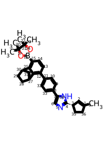 CC1=C[C@@H](c2ncc(-c3ccc(-c4ccc(B5OC(C)(C)C(C)(C)O5)c5c4C4CCC5C4)cc3)[nH]2)CC1